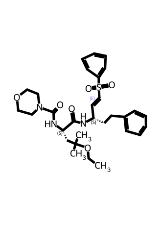 CCOC(C)(C)C[C@H](NC(=O)N1CCOCC1)C(=O)N[C@H](/C=C/S(=O)(=O)c1ccccc1)CCc1ccccc1